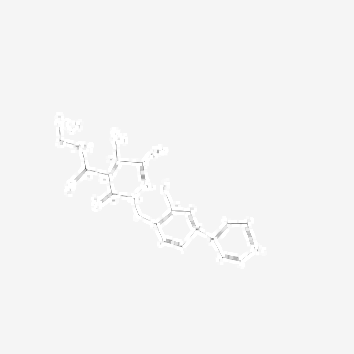 CCCc1nn(Cc2ccc(-c3ccncc3)cc2F)c(=O)c(C(=O)NCC(=O)O)c1O